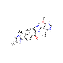 CCOc1ncnc(C2CC2)c1-c1ncc(OC)c(C(=O)c2ccc(-c3nc(C(F)(F)F)cn3C)cc2)n1